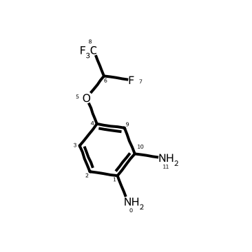 Nc1ccc(OC(F)C(F)(F)F)cc1N